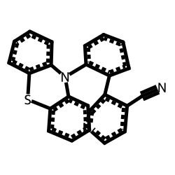 N#Cc1ccncc1-c1ccccc1N1c2ccccc2Sc2ccccc21